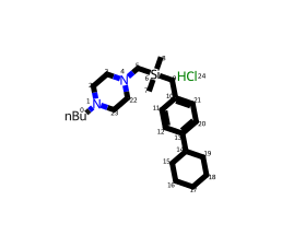 CCCCN1CCN(C[Si](C)(C)Cc2ccc(C3CCCCC3)cc2)CC1.Cl